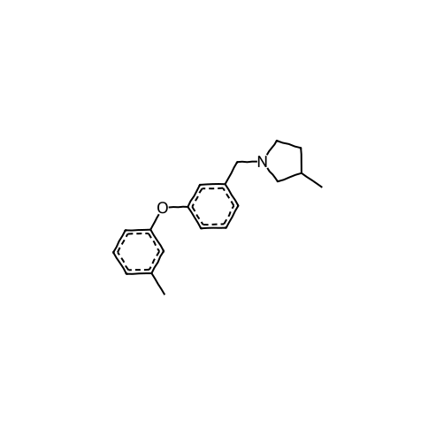 Cc1cccc(Oc2cccc(CN3CCC(C)C3)c2)c1